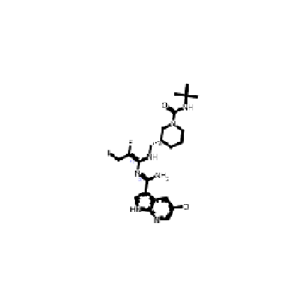 CC(C)(C)NC(=O)N1CCC[C@H](CNC(/N=C(\N)c2c[nH]c3ncc(Cl)cc23)=C(\F)CI)C1